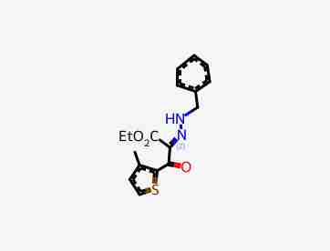 CCOC(=O)/C(=N\NCc1ccccc1)C(=O)c1sccc1C